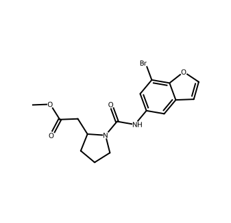 COC(=O)CC1CCCN1C(=O)Nc1cc(Br)c2occc2c1